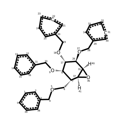 c1ccc(COC[C@@H]2[C@H](OCc3ccccc3)[C@H](OCc3ccccc3)[C@@H](OCc3ccccc3)[C@H]3O[C@@H]23)cc1